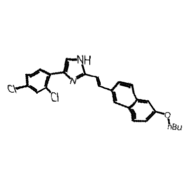 CCCCOc1ccc2cc(C=Cc3nc(-c4ccc(Cl)cc4Cl)c[nH]3)ccc2c1